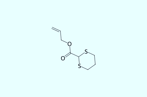 C=CCOC(=O)C1SCCCS1